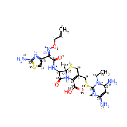 C=CCO/N=C(\C(=O)NC1C(=O)N2C(C(=O)O)=C(CSC3=NC(N)=CC(N)N3CC)CS[C@@H]12)c1csc(N)n1